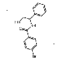 O=C(NC(CO)c1ccccc1)c1ccc(Br)cc1